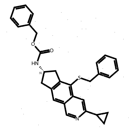 O=C(N[C@H]1Cc2cc3cnc(C4CC4)cc3c(SCc3ccccc3)c2C1)OCc1ccccc1